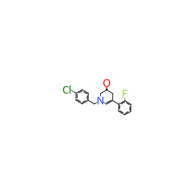 O=C1CC(c2ccccc2F)=CN(Cc2ccc(Cl)cc2)C1